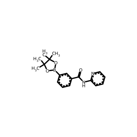 CC1(C)OB(c2cccc(C(=O)Nc3ccccn3)c2)OC1(C)C